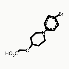 O=C(O)COC1CCN(c2ccc(Br)cc2)CC1